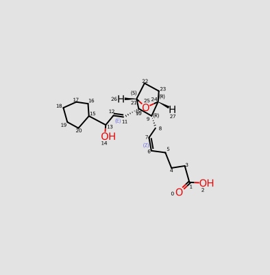 O=C(O)CCC/C=C\C[C@@H]1[C@H](/C=C/C(O)C2CCCCC2)[C@@H]2CC[C@H]1O2